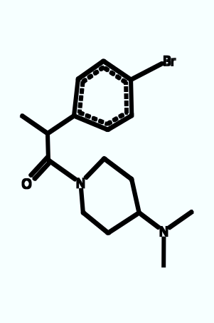 CC(C(=O)N1CCC(N(C)C)CC1)c1ccc(Br)cc1